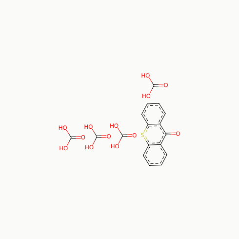 O=C(O)O.O=C(O)O.O=C(O)O.O=C(O)O.O=c1c2ccccc2sc2ccccc12